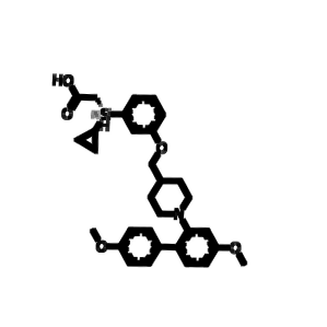 COc1ccc(-c2ccc(OC)cc2N2CCC(COc3cccc([Si@@H](CC(=O)O)C4CC4)c3)CC2)cc1